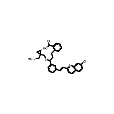 CCC(O)c1ccccc1CCC(SCC1(CC(=O)O)CC1)c1cccc(/C=C/c2ccc3ccc(Cl)cc3n2)c1